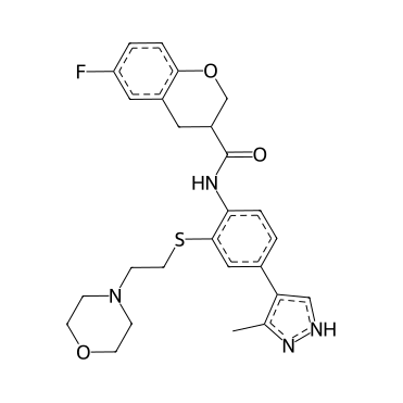 Cc1n[nH]cc1-c1ccc(NC(=O)C2COc3ccc(F)cc3C2)c(SCCN2CCOCC2)c1